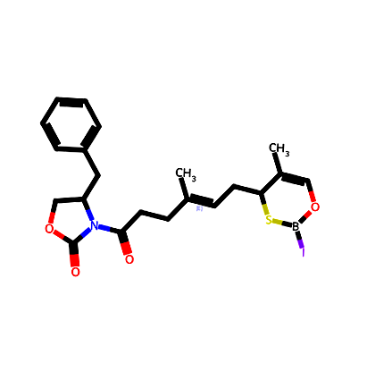 CC1=COB(I)SC1C/C=C(\C)CCC(=O)N1C(=O)OCC1Cc1ccccc1